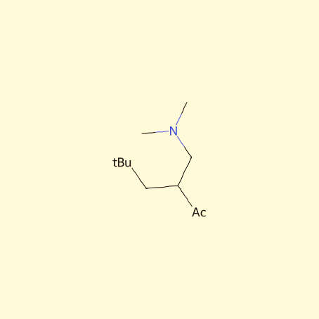 CC(=O)C(CN(C)C)CC(C)(C)C